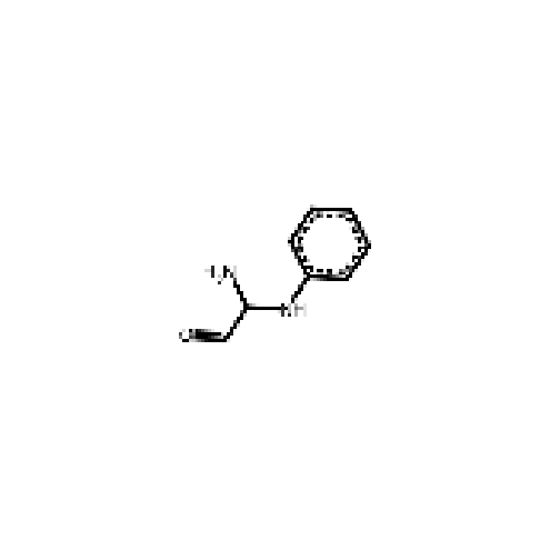 NC(C=O)Nc1c[c]ccc1